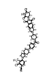 Cc1c(N2CCC3(CCN(c4ccc(C(=O)N5CCC(N6Cc7cc8c(cc7C6)C(=O)N(C6CCC(=O)NC6=O)C8=O)CC5)cc4)CC3)C2)ccc(C#N)c1Cl